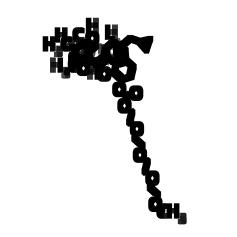 C=C(C)[C@@](C)(O)[C@H]1C[C@@]23CC[C@@]1(OC)[C@@H]1Oc4c(OC(=O)OCCOCCOCCOCCOC)ccc5c4[C@@]12CCN(CC1CC1)[C@@H]3C5